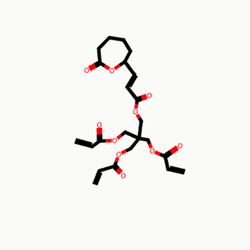 C=CC(=O)OCC(COC(=O)C=C)(COC(=O)C=C)COC(=O)C=CC1CCCCC(=O)O1